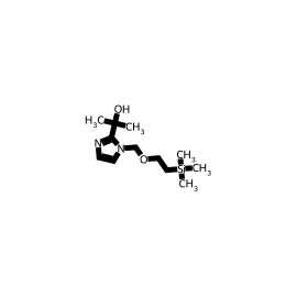 CC(C)(O)c1nccn1COCC[Si](C)(C)C